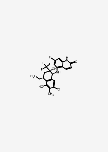 CC[C@H]1C[C@](O)(C(F)(F)F)[C@@H](Nc2cc(F)cc3[nH]c(=O)ccc23)c2cc(Cl)c(C)c(O)c21